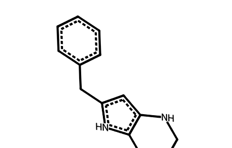 c1ccc(Cc2cc3c([nH]2)CCCN3)cc1